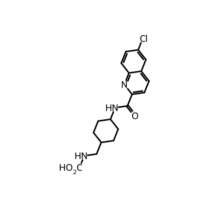 O=C(O)NCC1CCC(NC(=O)c2ccc3cc(Cl)ccc3n2)CC1